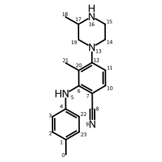 Cc1ccc(Nc2c(C#N)ccc(N3CCNC(C)C3)c2C)cc1